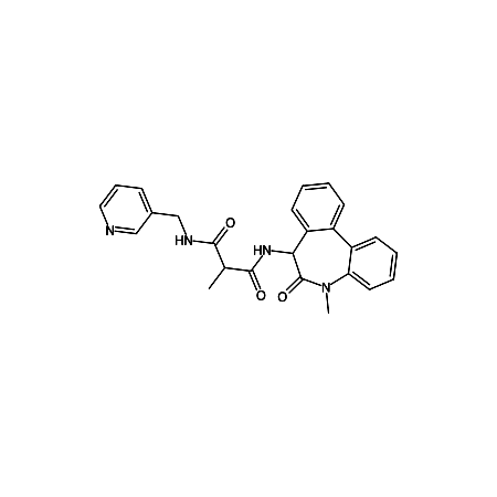 CC(C(=O)NCc1cccnc1)C(=O)NC1C(=O)N(C)c2ccccc2-c2ccccc21